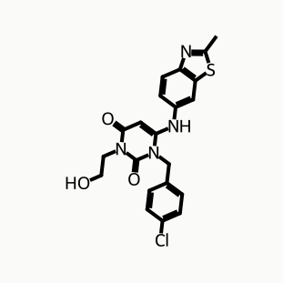 Cc1nc2ccc(Nc3cc(=O)n(CCO)c(=O)n3Cc3ccc(Cl)cc3)cc2s1